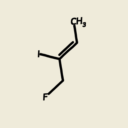 CC=C(I)CF